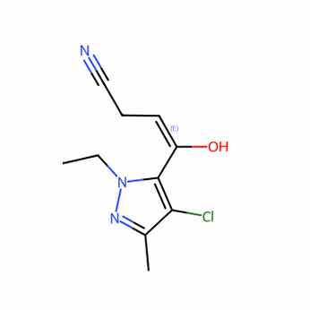 CCn1nc(C)c(Cl)c1/C(O)=C\CC#N